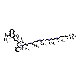 COc1c(C)c(CCC(C)CC2(/C=C(\C)CC/C=C(\C)CC/C=C(\C)CC/C=C(\C)CC/C=C(\C)CCC=C(C)C)SC=CCS2)c(OC)c2ccccc12